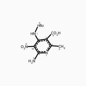 CCCCNc1c(C(=O)O)c(C)nc(N)c1[N+](=O)[O-]